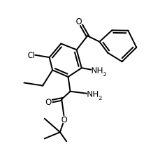 CCc1c(Cl)cc(C(=O)c2ccccc2)c(N)c1C(N)C(=O)OC(C)(C)C